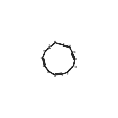 [CH]1C=CCC=CCCCC=CC=CC1